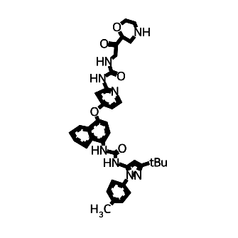 Cc1ccc(-n2nc(C(C)(C)C)cc2NC(=O)Nc2ccc(Oc3ccnc(NC(=O)NCC(=O)C4CNCCO4)c3)c3ccccc23)cc1